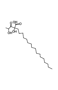 CCCCCCCCCCCCCCCCCC(O)(C(=O)O)C(=O)C(C)O